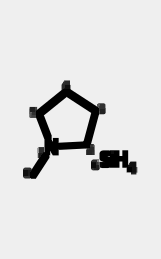 CN1CCCC1.[SiH4]